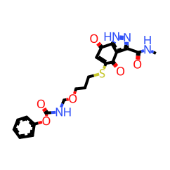 CNC(=O)c1n[nH]c2c1C(=O)C(SCCCOCNC(=O)Oc1ccccc1)=CC2=O